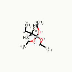 CCO[Si](OCC)(OCC)C(C)(C)CC